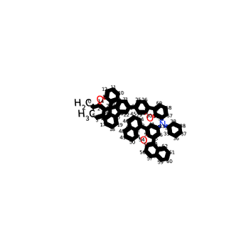 C=CC1=C(/C=C\C)C2(c3ccccc3O1)c1ccccc1-c1cc(-c3ccc4c(c3)oc3c(N(c5ccccc5)c5cc(-c6cccc7ccccc67)c6oc7ccc8ccccc8c7c6c5)cccc34)ccc12